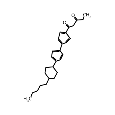 CCCCCC1CCC(c2ccc(-c3ccc(C(=O)CC(=O)CC)cc3)cc2)CC1